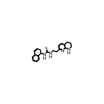 S=C(NCCc1ccc2c(n1)NCCC2)NC1CC=Cc2ccccc21